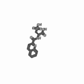 O=C(N[C@@H](CS(=O)(=O)O)C(=O)O)c1ccc2ccccc2n1